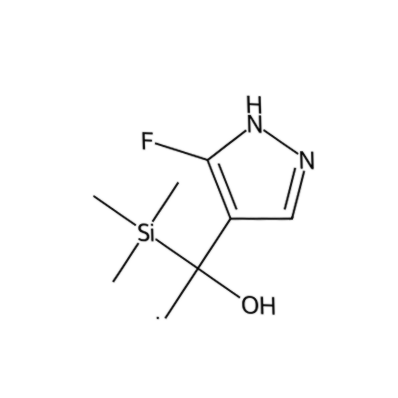 [CH2]C(O)(c1cn[nH]c1F)[Si](C)(C)C